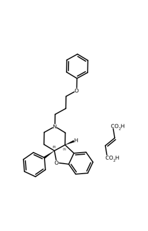 O=C(O)C=CC(=O)O.c1ccc(OCCCN2CC[C@@]3(c4ccccc4)Oc4ccccc4[C@H]3C2)cc1